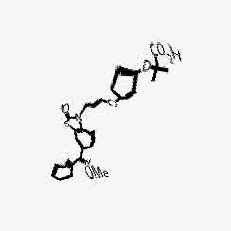 CO/N=C(\c1ccccc1)c1ccc2c(c1)sc(=O)n2CCCOc1ccc(OC(C)(C)C(=O)O)cc1